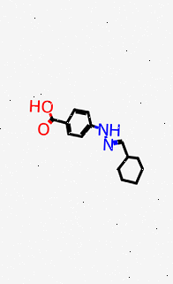 O=C(O)c1ccc(N/N=C/C2CCCCC2)cc1